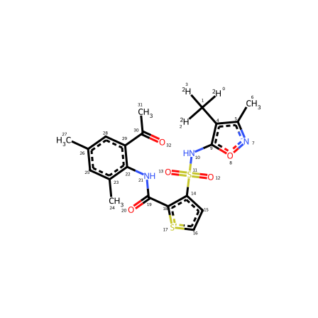 [2H]C([2H])([2H])c1c(C)noc1NS(=O)(=O)c1ccsc1C(=O)Nc1c(C)cc(C)cc1C(C)=O